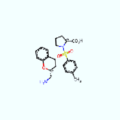 Cc1ccc(S(=O)(=O)N2CCC[C@H]2C(=O)O)cc1.NC[C@H]1CCc2ccccc2O1